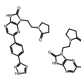 O=C1CCCN1CCn1c(=O)[nH]c2ncc(-c3ccc(-c4nc[nH]n4)cc3)nc21.O=C1CCCN1CCn1c(=O)[nH]c2ncc(Br)nc21